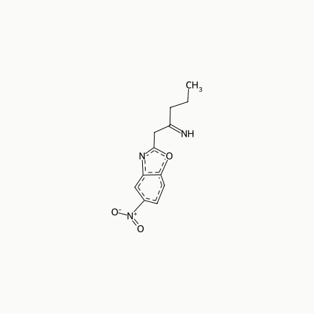 CCCC(=N)Cc1nc2cc([N+](=O)[O-])ccc2o1